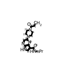 C=CC(=O)N1CCN(c2cnc3[nH]cc(C(=O)NCCC)c3n2)CC1